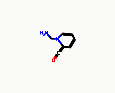 NCN1C=CC=CC1=C=O